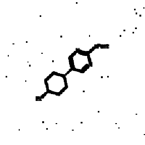 CCCCCc1ncc([C@H]2CC[C@H](CC)CC2)cn1